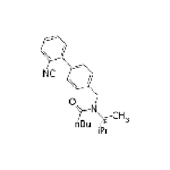 [C-]#[N+]c1ccccc1-c1ccc(CN(C(=O)CCCC)[C@H](C)C(C)C)cc1